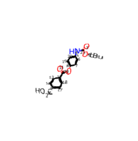 CC(C)(C)OC(=O)Nc1ccc(OC(=O)c2ccc(C(=O)O)cc2)cc1